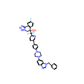 O[C@@]1(C(F)(F)c2ccc(-c3ccc(N4CCN(c5ccc6ncn(Cc7ccccc7)c6c5)CC4)cc3)cn2)Cn2nnnc2-c2cc(F)ccc21